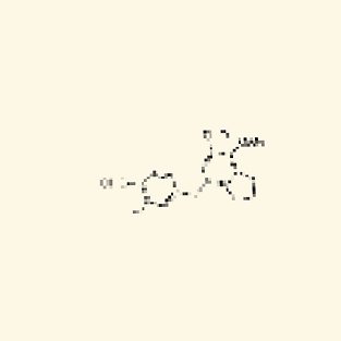 COc1c(C=O)cc(Cc2ccc(C=O)c(F)c2)c2c1CCC2